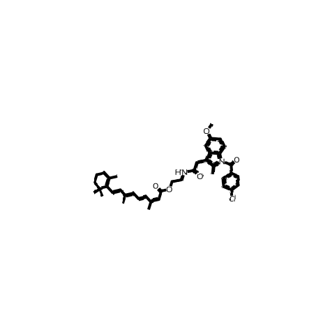 COc1ccc2c(c1)c(CC(=O)NCCOC(=O)\C=C(C)/C=C/C=C(C)/C=C/C1=C(C)CCCC1(C)C)c(C)n2C(=O)c1ccc(Cl)cc1